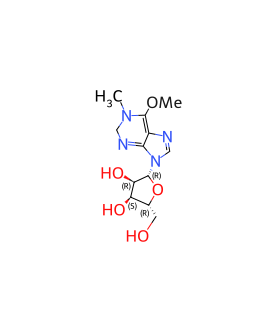 COC1=c2ncn([C@@H]3O[C@H](CO)[C@@H](O)[C@H]3O)c2=NCN1C